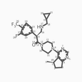 C[C@@H]1CCc2ncnc(N3CCN(C(=O)[C@H](CNCC4CC4)c4ccc(C(F)(F)F)c(F)c4)CC3)c21